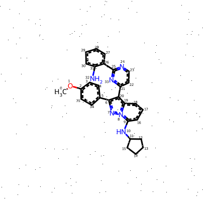 COc1ccc(-c2nn3c(NC4CCCC4)cccc3c2-c2ccnc(-c3ccccc3N)n2)cc1